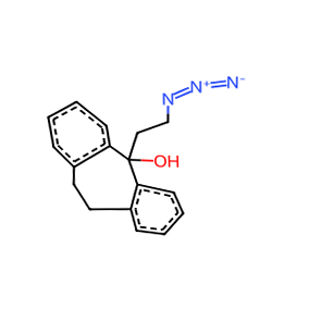 [N-]=[N+]=NCCC1(O)c2ccccc2CCc2ccccc21